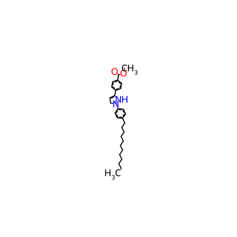 CCCCCCCCCCCCc1ccc(N2CC=C(c3ccc(C(=O)OC)cc3)N2)cc1